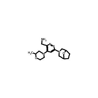 CC1CN(c2cc(N3CC4CCC(C3)O4)nnc2CN)CCO1